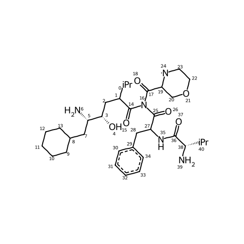 CC(C)C(C[C@H](O)[C@@H](N)CC1CCCCC1)C(=O)N(C(=O)C1COCC[N]1)C(=O)C(Cc1ccccc1)NC(=O)[C@@H](N)C(C)C